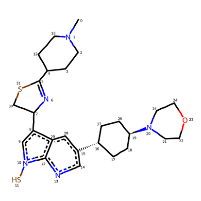 CN1CCC(C2=NC(c3cn(S)c4ncc([C@H]5CC[C@H](N6CCOCC6)CC5)cc34)CS2)CC1